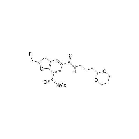 CNC(=O)c1cc(C(=O)NCCCC2OCCCO2)cc2c1OC(CF)C2